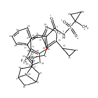 CC1(S(=O)(=O)NC(=O)c2ccc3nc(N4C5CC(NCc6c(-c7ccccc7OC(F)(F)F)noc6C6CC6)CC4C5)sc3c2)CC1